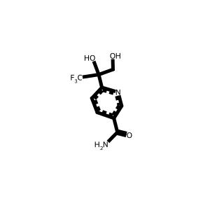 NC(=O)c1ccc(C(O)(CO)C(F)(F)F)nc1